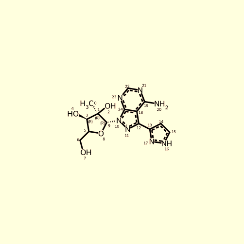 C[C@@]1(O)[C@H](O)C(CO)O[C@H]1n1nc(-c2cc[nH]n2)c2c(N)ncnc21